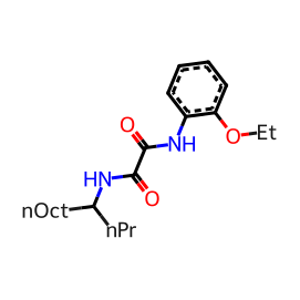 CCCCCCCCC(CCC)NC(=O)C(=O)Nc1ccccc1OCC